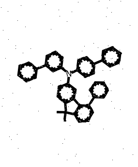 CC1(C)c2ccc(N(c3ccc(-c4ccccc4)cc3)c3cccc(-c4ccccc4)c3)cc2-c2c(-c3ccccc3)cccc21